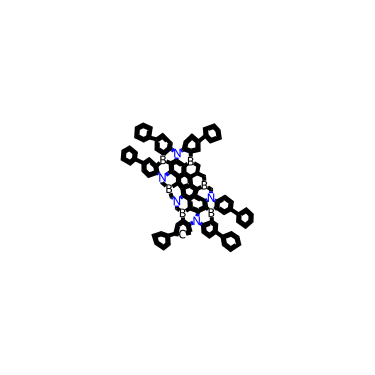 c1ccc(-c2ccc3c(c2)B2c4cc(-c5ccccc5)ccc4N4c5ccc(-c6ccccc6)cc5B5CC6CB7CN8c9ccc(-c%10ccccc%10)cc9B9c%10cc(-c%11ccccc%11)ccc%10N%10c%11ccc(-c%12ccccc%12)cc%11B%11CN%12CB%13CN3c3c2c4c5c2c6c4c7c5c8c9c%10c%11c5c%12c4c%13c32)cc1